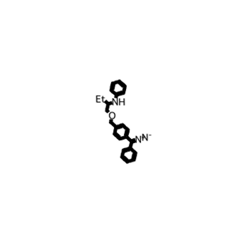 CCC(COCc1ccc(C(=[N+]=[N-])c2ccccc2)cc1)Nc1ccccc1